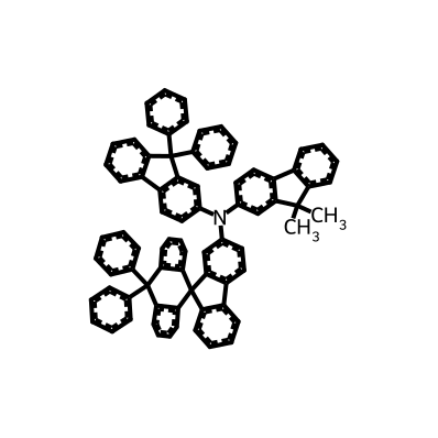 CC1(C)c2ccccc2-c2ccc(N(c3ccc4c(c3)C(c3ccccc3)(c3ccccc3)c3ccccc3-4)c3ccc4c(c3)C3(c5ccccc5-4)c4ccccc4C(c4ccccc4)(c4ccccc4)c4ccccc43)cc21